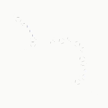 CC[N+]1=C(/C=C/C=C/C=C2/N(CCCCCC(=O)NCc3ccc(C(=O)NCc4ccc(C(=O)NCc5ccc6c(c5)C(C)(C)C(/C=C/C=C5/N(CCCCCC(=O)O)c7ccc(S(=O)(=O)O)cc7C5(C)C)=[N+]6CCCS(=O)(=O)O)cc4)cc3)c3ccc(S(=O)(=O)O)cc3C2(C)C)C(C)(C)c2cc(S(=O)(=O)O)ccc21